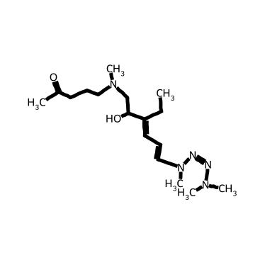 CC/C(=C\C=C\N(C)/N=N\N(C)C)C(O)CN(C)CCCC(C)=O